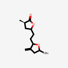 C=C1CC(CCCC)OC1CCC1C[C@@H](C)C(=O)O1